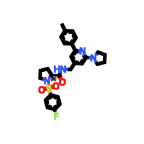 Cc1ccc(-c2cc(CNC(=O)[C@@H]3CCCN3S(=O)(=O)c3ccc(F)cc3)cc(N3CCCC3)n2)cc1